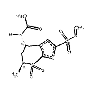 C=NS(=O)(=O)c1cc2c(s1)S(=O)(=O)[C@@H](C)C[C@@H]2N(CC)C(=O)OC